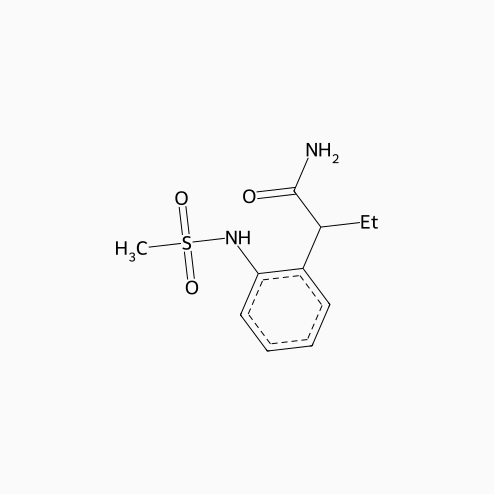 CCC(C(N)=O)c1ccccc1NS(C)(=O)=O